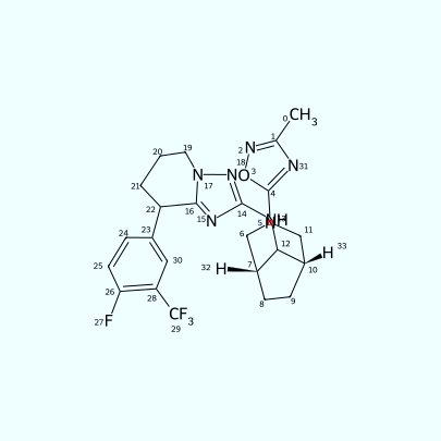 Cc1noc(N2C[C@H]3CC[C@@H](C2)C3Nc2nc3n(n2)CCCC3c2ccc(F)c(C(F)(F)F)c2)n1